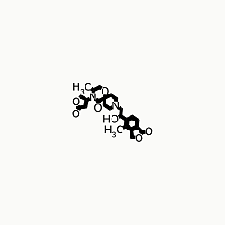 Cc1c(C(O)CN2CCC3(CC2)OCC(C)N(C2=CC(=O)OC2)C3=O)ccc2c1COC2=O